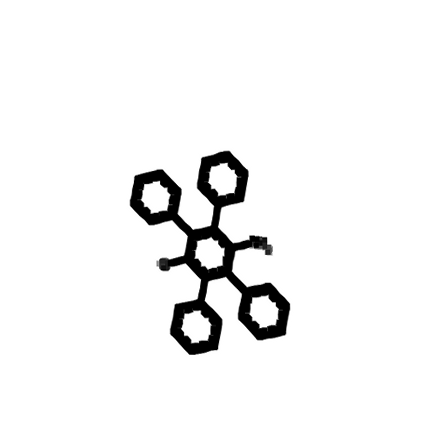 Nc1c(-c2ccccc2)c(-c2ccccc2)c([O])c(-c2ccccc2)c1-c1ccccc1